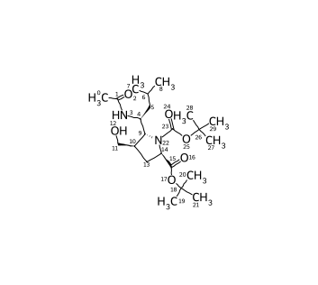 CC(=O)N[C@@H](CC(C)C)[C@H]1[C@H](CO)C[C@H](C(=O)OC(C)(C)C)N1C(=O)OC(C)(C)C